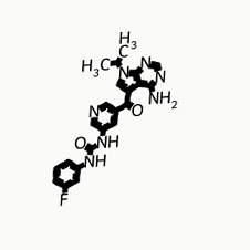 CC(C)n1cc(C(=O)c2cncc(NC(=O)Nc3cccc(F)c3)c2)c2c(N)ncnc21